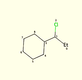 [CH2]CC(Cl)C1CCCCC1